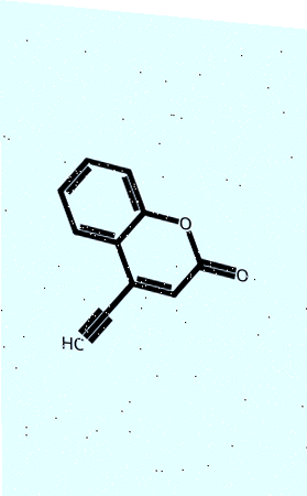 C#Cc1cc(=O)oc2ccccc12